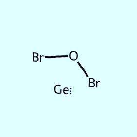 BrOBr.[Ge]